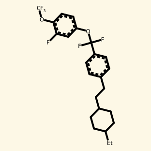 CCC1CCC(CCc2ccc(C(F)(F)Oc3ccc(OC(F)(F)F)c(F)c3)cc2)CC1